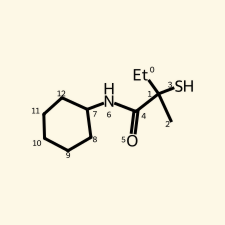 CCC(C)(S)C(=O)NC1CCCCC1